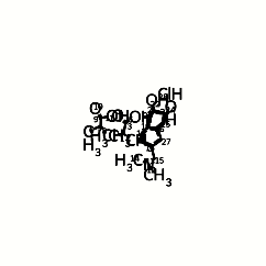 CC(C)C(=O)O.CC(C)C(=O)O.CN(C)Cc1ccc2cc(O)c(O)cc2c1.Cl